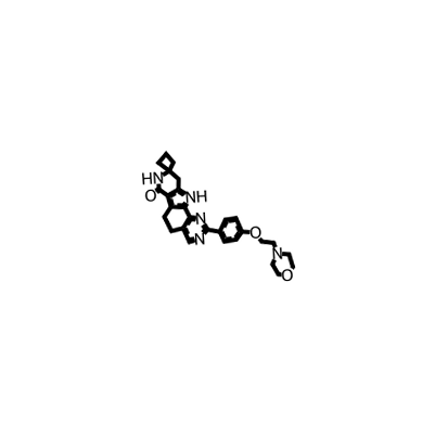 O=C1NC2(CCC2)Cc2[nH]c3c(c21)CCc1cnc(-c2ccc(OCCN4CCOCC4)cc2)nc1-3